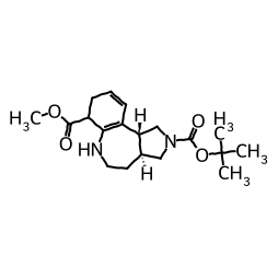 COC(=O)C1CC=CC2=C1NCC[C@@H]1CN(C(=O)OC(C)(C)C)C[C@@H]21